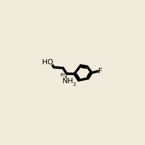 N[C@H](CCO)c1ccc(F)cc1